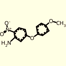 COc1ccc(Oc2ccc([N+](=O)[O-])c(N)c2)cc1